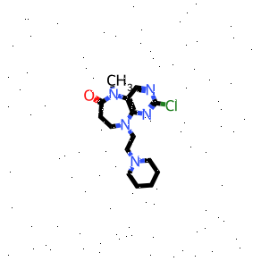 CN1C(=O)CCN(CCN2CCCCC2)c2nc(Cl)ncc21